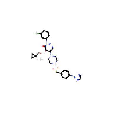 CC1(COc2c(N3CCN(S(=O)(=O)Cc4ccc(-n5nccn5)cc4)CC3)cnn(-c3cccc(Cl)c3)c2=O)CC1